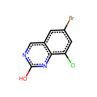 Oc1ncc2cc(Br)cc(Cl)c2n1